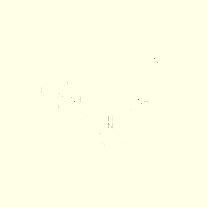 CS(=O)(=O)Nc1cccc(C(=O)Nc2ccccc2C(=O)NCc2cccnc2)c1